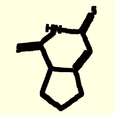 S=C1C=C2CCCC2C(=S)N1